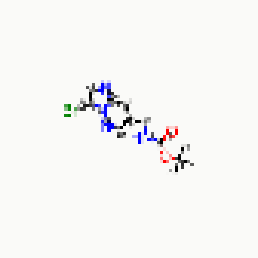 CC(C)(C)OC(=O)NCc1cnn2c(Br)cnc2c1